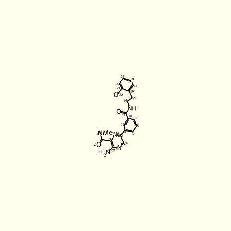 CNC(=O)c1nc(-c2cccc(C(=O)NCCc3ccccc3Cl)c2)cnc1N